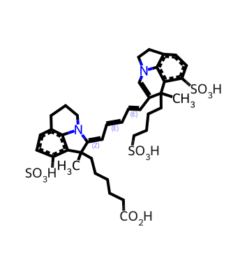 CC1(CCCCS(=O)(=O)O)C(/C=C/C=C/C=C2\N3CCCc4ccc(S(=O)(=O)O)c(c43)C2(C)CCCCCC(=O)O)=CN2CCc3ccc(S(=O)(=O)O)c1c32